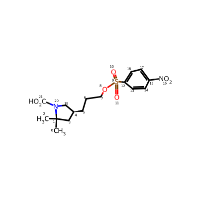 CC1(C)C[C@H](CCCOS(=O)(=O)c2ccc([N+](=O)[O-])cc2)CN1C(=O)O